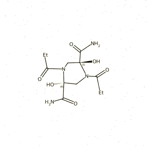 CCC(=O)N1C[C@](O)(C(N)=O)N(C(=O)CC)C[C@@]1(O)C(N)=O